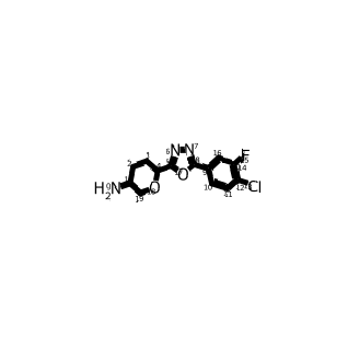 NC1CCC(c2nnc(-c3ccc(Cl)c(F)c3)o2)OC1